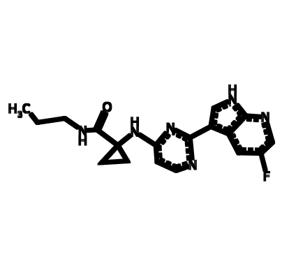 CCCNC(=O)C1(Nc2ccnc(-c3c[nH]c4ncc(F)cc34)n2)CC1